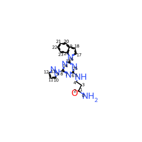 NC(=O)CCNc1nc(-n2cccn2)nc(-n2ccc3ccccc32)n1